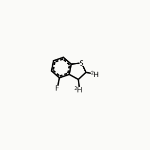 [2H]C1Sc2cccc(F)c2C1[2H]